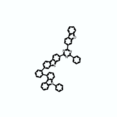 c1ccc(-c2nc(-c3ccc4c(c3)oc3ccccc34)nc(-c3ccc4c(c3)sc3cc(-c5ccccc5-c5cccc6c5c5ccccc5n6-c5ccccc5)ccc34)n2)cc1